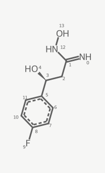 N=C(C[C@H](O)c1ccc(F)cc1)NO